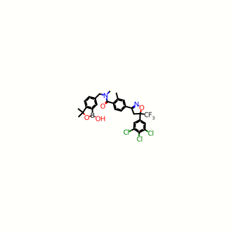 Cc1cc(C2=NOC(c3cc(Cl)c(Cl)c(Cl)c3)(C(F)(F)F)C2)ccc1C(=O)N(C)Cc1ccc2c(c1)B(O)OC2(C)C